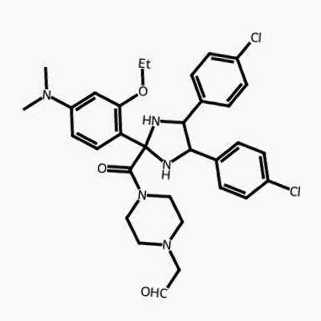 CCOc1cc(N(C)C)ccc1C1(C(=O)N2CCN(CC=O)CC2)NC(c2ccc(Cl)cc2)C(c2ccc(Cl)cc2)N1